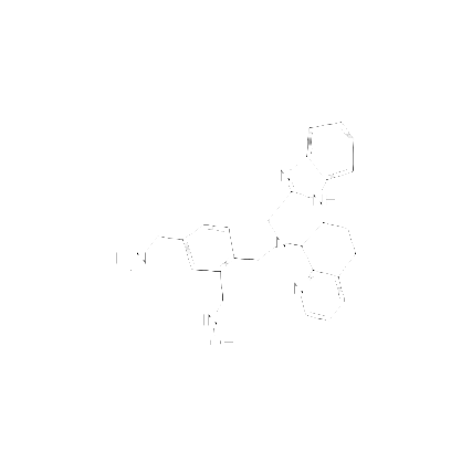 NCc1ccc(CN(Cc2nc3ccccc3[nH]2)C2CCCc3cccnc32)c(CNO)c1